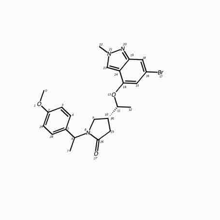 COc1ccc(C(C)N2C[C@H](C(C)Oc3cc(Br)cc4nn(C)cc34)CC2=O)cc1